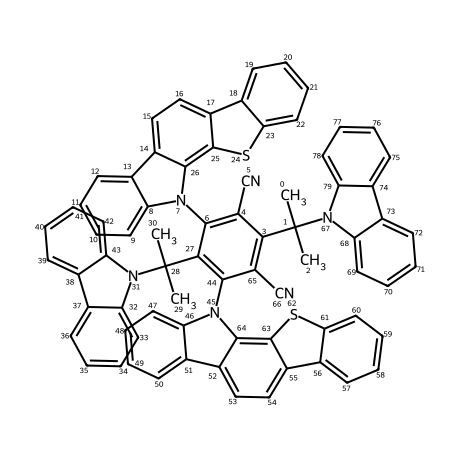 CC(C)(c1c(C#N)c(-n2c3ccccc3c3ccc4c5ccccc5sc4c32)c(C(C)(C)n2c3ccccc3c3ccccc32)c(-n2c3ccccc3c3ccc4c5ccccc5sc4c32)c1C#N)n1c2ccccc2c2ccccc21